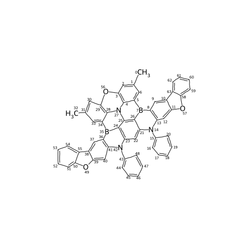 Cc1cc2c3c(c1)B1c4cc5c(cc4N(c4ccccc4)c4cc6c7c(c41)N3c1c(cc(C)cc1B7c1cc3c(cc1N6c1ccccc1)oc1ccccc13)O2)oc1ccccc15